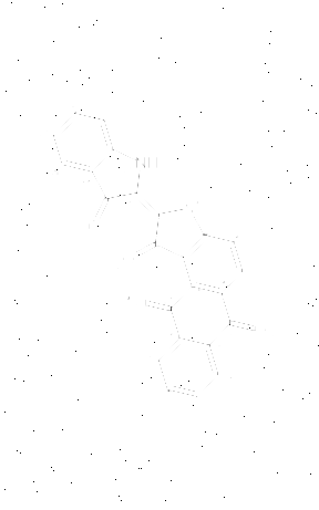 O=C1C(=C2Sc3ccc4c(c3C2=O)C(=O)c2ccccc2C4=O)Nc2ccccc21